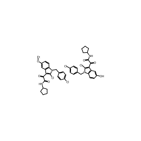 CCOc1ccc2c(c1)c(C(=O)C(=O)NC1CCCC1)c(Cl)n2Cc1ccc(Cl)cc1.O=C(NC1CCCC1)C(=O)c1c(Cl)n(Cc2ccc(Cl)cc2)c2ccc(O)cc12